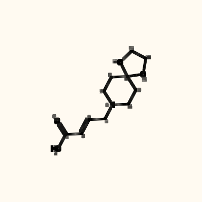 O=C(O)C=CCN1CCC2(CC1)OCCO2